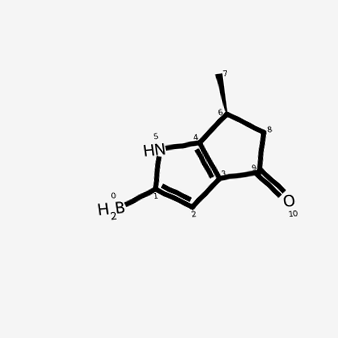 Bc1cc2c([nH]1)[C@@H](C)CC2=O